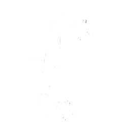 O=P(O)(OCc1cccc2[nH]nnc12)OCc1cccc2[nH]nnc12